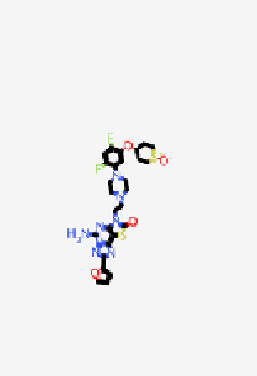 Nc1nc2c(sc(=O)n2CCN2CCN(c3cc(O[C@H]4CC[S@@+]([O-])CC4)c(F)cc3F)CC2)c2nc(-c3ccco3)nn12